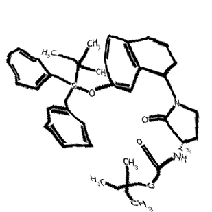 CC(C)(C)OC(=O)N[C@H]1CCN(C2CCCc3ccc(O[Si](c4ccccc4)(c4ccccc4)C(C)(C)C)cc32)C1=O